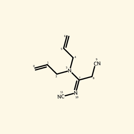 C=CCN(CC=C)C(CC#N)=NC#N